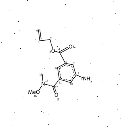 C=CCOC(=O)c1cc(N)cc(C(=O)N(C)OC)c1